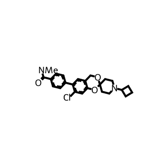 CNC(=O)c1ccc(-c2cc3c(cc2Cl)OC2(CCN(C4CCC4)CC2)OC3)cc1